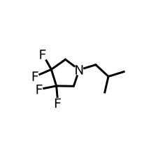 CC(C)CN1CC(F)(F)C(F)(F)C1